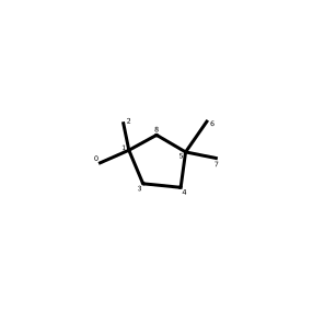 CC1(C)CCC(C)(C)C1